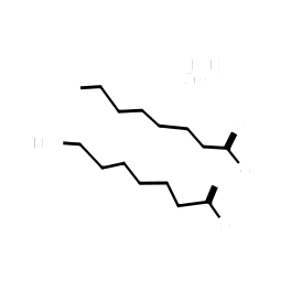 CCCCCCCC(=O)[O-].CCCCCCCC(=O)[O-].[BaH2].[Zn+2]